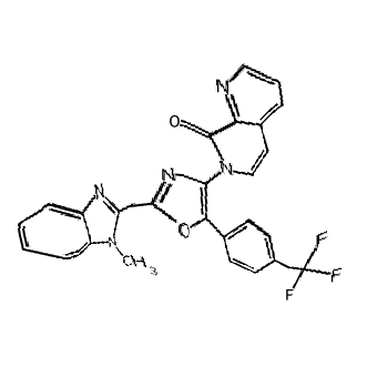 Cn1c(-c2nc(-n3ccc4cccnc4c3=O)c(-c3ccc(C(F)(F)F)cc3)o2)nc2ccccc21